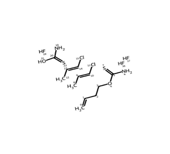 C=CCCOC(N)=S.CC=CCl.CC=CCl.F.F.F.NC(O)=S